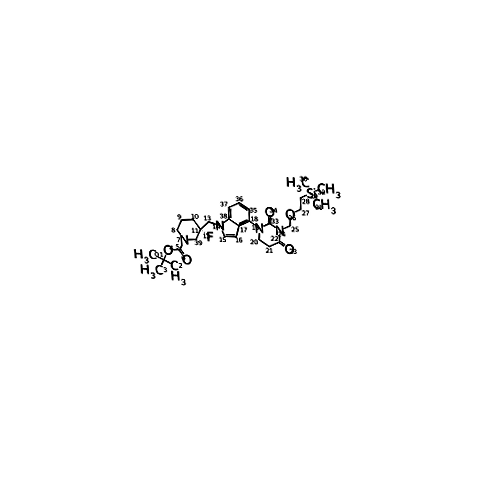 CC(C)(C)OC(=O)N1CCC[C@@](F)(Cn2ccc3c(N4CCC(=O)N(COCC[Si](C)(C)C)C4=O)cccc32)C1